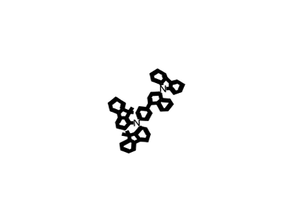 CC1(C)c2ccccc2-c2cccc(N(c3ccc(-c4ccc(-n5c6ccccc6c6ccccc65)c5ccccc45)cc3)c3cccc4c3C(C)(C)c3ccccc3-4)c21